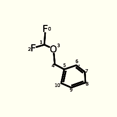 FC(F)OCc1[c]cccc1